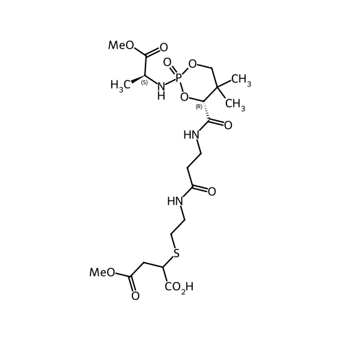 COC(=O)CC(SCCNC(=O)CCNC(=O)[C@@H]1OP(=O)(N[C@@H](C)C(=O)OC)OCC1(C)C)C(=O)O